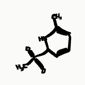 CC1=[C]C=CC(S(C)(=O)=O)N1